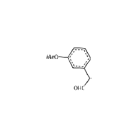 COc1cccc([CH]C=O)c1